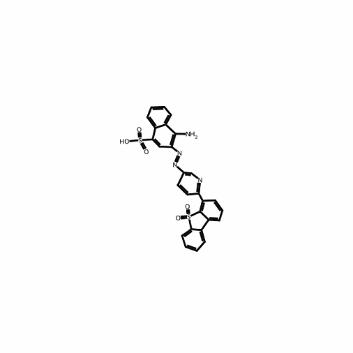 Nc1c(/N=N/c2ccc(-c3cccc4c3S(=O)(=O)c3ccccc3-4)nc2)cc(S(=O)(=O)O)c2ccccc12